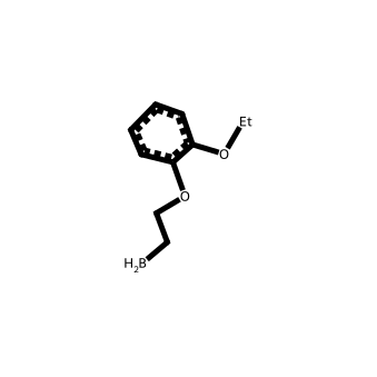 BCCOc1ccccc1OCC